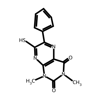 Cn1c(=O)c2nc(-c3ccccc3)c(S)nc2n(C)c1=O